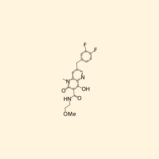 COCCNC(=O)c1c(O)c2ncc(Cc3ccc(F)c(F)c3)cc2n(C)c1=O